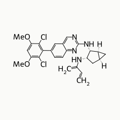 C=CC(=C)N[C@H]1C[C@@H]2C[C@@H]2[C@H]1Nc1ncc2cc(-c3c(Cl)c(OC)cc(OC)c3Cl)ccc2n1